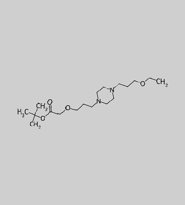 CCOCCCN1CCN(CCCOCC(=O)OC(C)(C)C)CC1